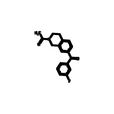 CC(=O)N1CCc2ccc(C(=O)c3cccc(F)c3)cc2C1